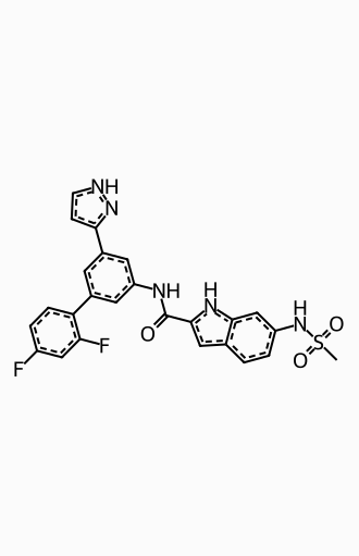 CS(=O)(=O)Nc1ccc2cc(C(=O)Nc3cc(-c4cc[nH]n4)cc(-c4ccc(F)cc4F)c3)[nH]c2c1